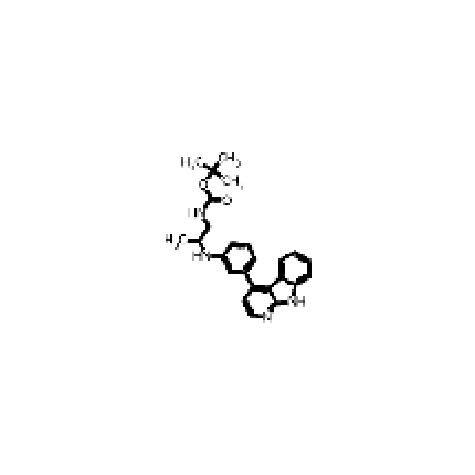 CC(CNC(=O)OC(C)(C)C)Nc1cccc(-c2ccnc3[nH]c4ccccc4c23)c1